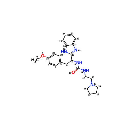 COc1ccc(CC(NC(=O)NCCN2CCCC2)c2nc3ccccc3[nH]2)cc1